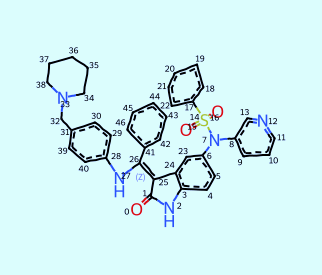 O=C1Nc2ccc(N(c3cccnc3)S(=O)(=O)c3ccccc3)cc2/C1=C(/Nc1ccc(CN2CCCCC2)cc1)c1ccccc1